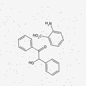 Nc1ccccc1C(=O)O.O=C(c1ccccc1)C(O)c1ccccc1